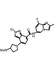 CCn1cc2c(N3CCC(NC)C3)ccc(C(=O)Nc3cc(F)c4nc(C)cn4c3)c2n1